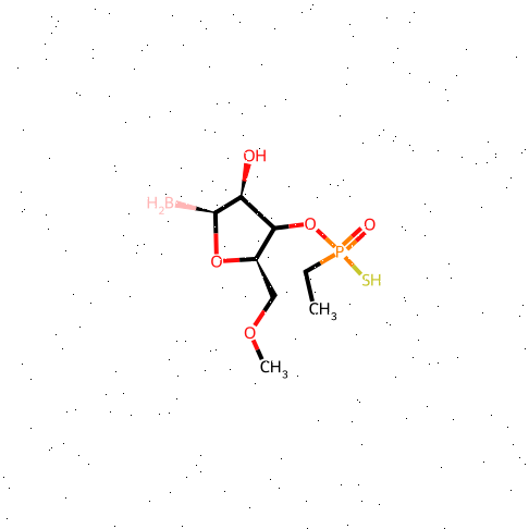 B[C@@H]1O[C@H](COC)C(OP(=O)(S)CC)[C@@H]1O